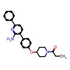 CCC(=O)N1CCC(Oc2ccc(-c3ccc(-c4ccccc4)nc3N)cc2)CC1